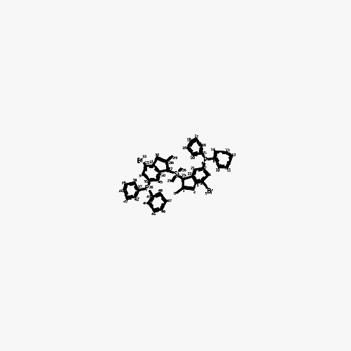 CC1=Cc2c(Br)cc(P(c3ccccc3)c3ccccc3)cc2C1[Si](C)(C)C1C(C)=Cc2c(Br)cc(P(c3ccccc3)c3ccccc3)cc21